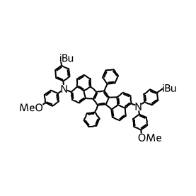 CCC(C)c1ccc(N(c2ccc(OC)cc2)c2ccc3c4c(-c5ccccc5)c5c6cccc7c(N(c8ccc(OC)cc8)c8ccc(C(C)CC)cc8)ccc(c5c(-c5ccccc5)c4c4cccc2c43)c76)cc1